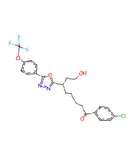 O=C(CCCCC(CCO)c1nnc(-c2ccc(OC(F)(F)F)cc2)o1)c1ccc(Cl)cc1